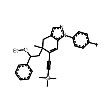 CCOC(CC1(C)Cc2cnn(-c3ccc(F)cc3)c2C=C1C#C[Si](C)(C)C)c1ccccc1